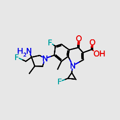 Cc1c(N2CC(C)C(N)(CF)C2)c(F)cc2c(=O)c(C(=O)O)cn(C3CC3F)c12